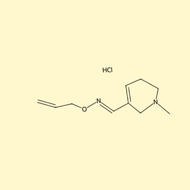 C=CCON=CC1=CCCN(C)C1.Cl